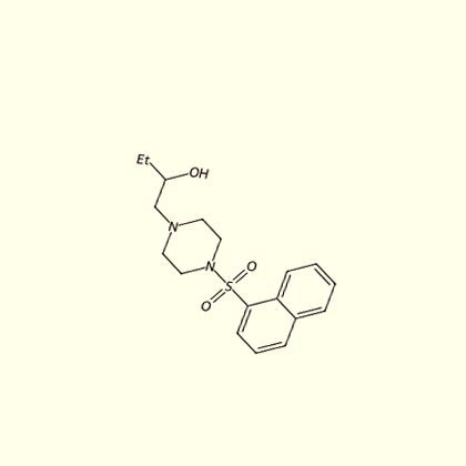 CCC(O)CN1CCN(S(=O)(=O)c2cccc3ccccc23)CC1